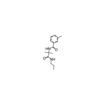 CCCNC(=O)C(C)(C)NC(=O)c1cccc(C)c1